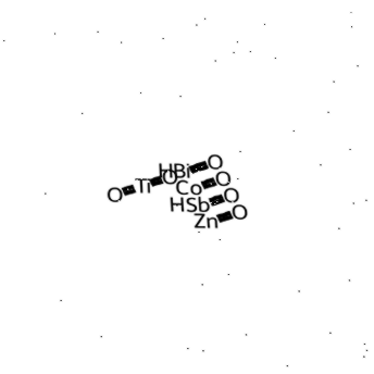 [O]=[BiH].[O]=[Co].[O]=[SbH].[O]=[Ti]=[O].[O]=[Zn]